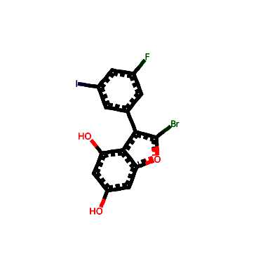 Oc1cc(O)c2c(-c3cc(F)cc(I)c3)c(Br)oc2c1